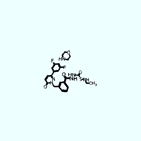 C1COCCN1.CCNSC(=O)NNC(=O)c1cccc(Cn2nc(-c3cc(F)cc(F)c3)ccc2=O)c1